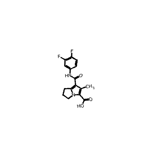 Cc1c(C(=O)Nc2ccc(F)c(F)c2)c2n(c1C(=O)O)CCC2